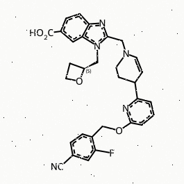 N#Cc1ccc(COc2cccc(C3C=CN(Cc4nc5ccc(C(=O)O)cc5n4C[C@@H]4CCO4)CC3)n2)c(F)c1